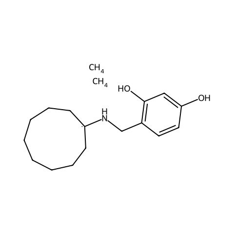 C.C.Oc1ccc(CN[C]2CCCCCCCC2)c(O)c1